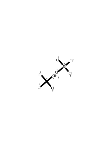 Cl[Si](Cl)(Cl)Cl.[SiH3]C(Cl)(Cl)Cl